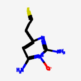 Nc1cc(CC=S)nc(N)[n+]1[O-]